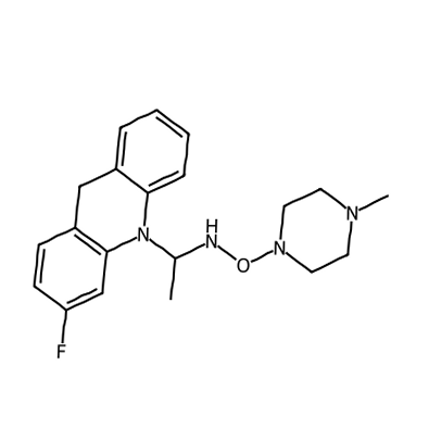 CC(NON1CCN(C)CC1)N1c2ccccc2Cc2ccc(F)cc21